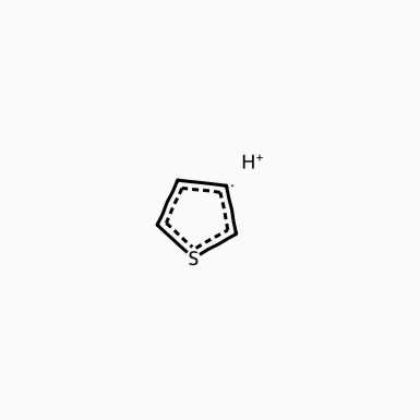 [H+].[c]1ccsc1